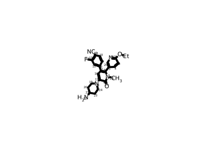 CCOc1ccc(-c2c(-c3ccc(C#N)c(F)c3)cc(N3CCC(N)CC3)c(=O)n2C)cn1